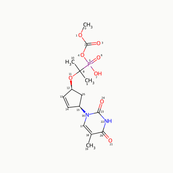 COC(=O)OP(=O)(O)C(C)(C)O[C@@H]1C=C[C@H](n2cc(C)c(=O)[nH]c2=O)C1